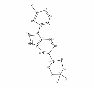 Cc1cccc(-c2n[nH]c3nc(N4CCC(C)(C)CC4)cnc23)c1